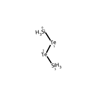 [SiH3][Te][Te][SiH3]